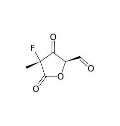 C[C@]1(F)C(=O)O[C@H](C=O)C1=O